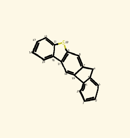 c1ccc2c(c1)Cc1cc3sc4ccccc4c3cc1-2